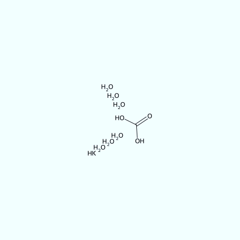 O.O.O.O.O.O.O=C(O)O.[KH]